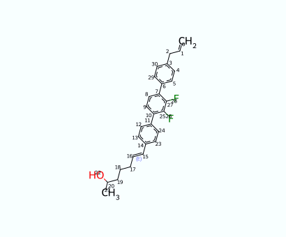 C=CCc1ccc(-c2ccc(-c3ccc(/C=C/CCCC(C)O)cc3)c(F)c2F)cc1